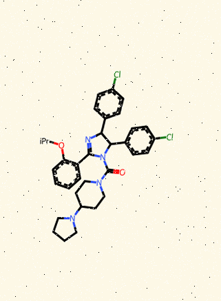 CC(C)Oc1ccccc1C1=NC(c2ccc(Cl)cc2)C(c2ccc(Cl)cc2)N1C(=O)N1CCC(N2CCCC2)CC1